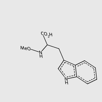 CONC(Cc1c[nH]c2ccccc12)C(=O)O